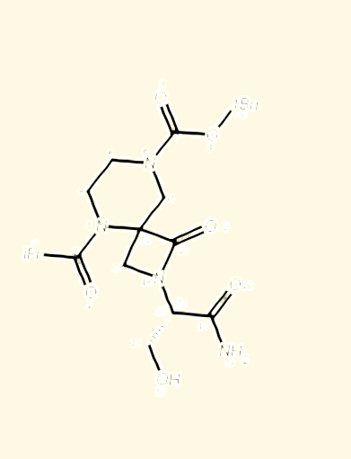 CC(C)C(=O)N1CCN(C(=O)OC(C)(C)C)CC12CN([C@@H](CO)C(N)=O)C2=O